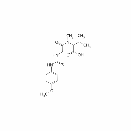 COc1ccc(NC(=S)NCC(=O)N(C)C(C(=O)O)C(C)C)cc1